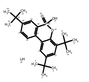 CC(C)(C)c1cc2c(c(C(C)(C)C)c1)OP(=O)(O)c1cc(C(C)(C)C)ccc1-2.[LiH]